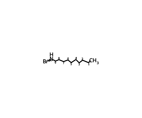 CCCCCCCCCCNBr